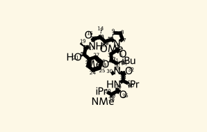 CC[C@H](C)[C@@H]([C@@H](CC(=O)N1CCC[C@H]1[C@H](OC)[C@@H](C)C(=O)N[C@H](C)[C@@H](O)c1ccccc1)OC)N(C)C(=O)C(NC(=O)[C@@H](NC)C(C)C)C(C)C